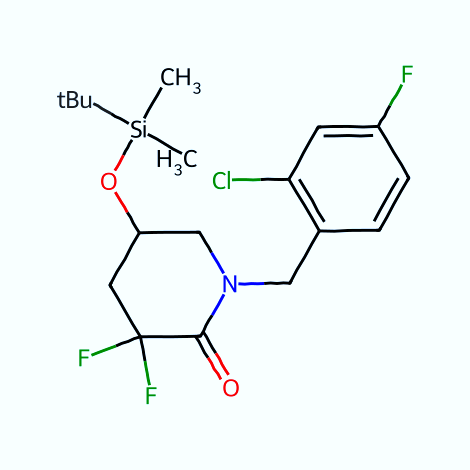 CC(C)(C)[Si](C)(C)OC1CN(Cc2ccc(F)cc2Cl)C(=O)C(F)(F)C1